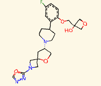 OC1(COc2ccc(F)cc2C2CCN([C@@H]3COC4(C3)CN(c3nnco3)C4)CC2)COC1